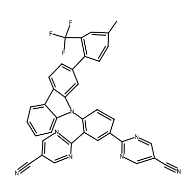 Cc1ccc(-c2ccc3c4ccccc4n(-c4ccc(-c5ncc(C#N)cn5)cc4-c4ncc(C#N)cn4)c3c2)c(C(F)(F)F)c1